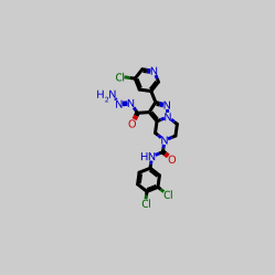 NN=NC(=O)c1c(-c2cncc(Cl)c2)nn2c1CN(C(=O)Nc1ccc(Cl)c(Cl)c1)CC2